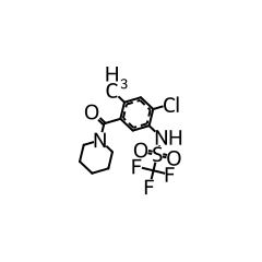 Cc1cc(Cl)c(NS(=O)(=O)C(F)(F)F)cc1C(=O)N1CCCCC1